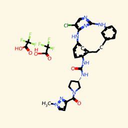 Cn1ccc(C(=O)N2CC[C@H](NC(=O)Nc3ccc4cc3CCc3cccc(c3)Nc3ncc(Cl)c(n3)N4)C2)n1.O=C(O)C(F)(F)F.O=C(O)C(F)(F)F